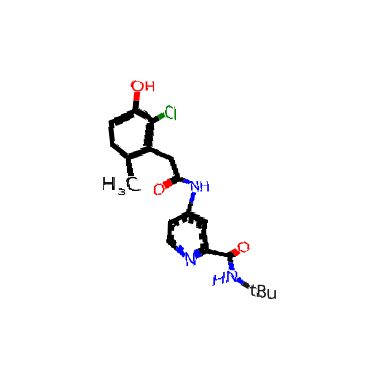 CC1CC=C(O)C(Cl)=C1CC(=O)Nc1ccnc(C(=O)NC(C)(C)C)c1